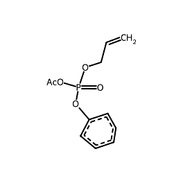 C=CCOP(=O)(OC(C)=O)Oc1ccccc1